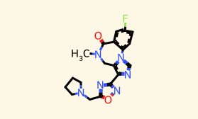 CN1Cc2c(-c3noc(CN4CCCC4)n3)ncn2-c2ccc(F)cc2C1=O